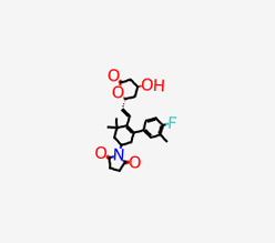 Cc1cc(C2=C(C=C[C@H]3C[C@H](O)CC(=O)O3)C(C)(C)CC(N3C(=O)CCC3=O)C2)ccc1F